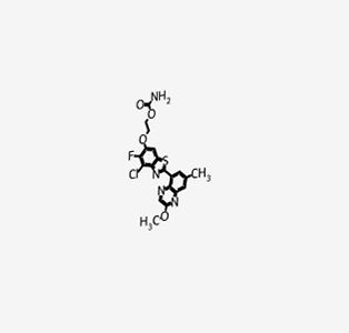 COc1cnc2c(-c3nc4c(Cl)c(F)c(OCCOC(N)=O)cc4s3)cc(C)cc2n1